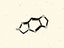 C1=C2OCOC2=NN2CNN=C12